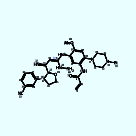 C=CC(=O)Nc1cc(N/C(=C/C(=N)N2OCC[C@@H]2c2cccc(C#N)c2)NN)c(OC)cc1N1CCN(CC)CC1